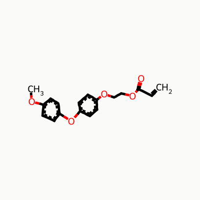 C=CC(=O)OCCOc1ccc(Oc2ccc(OC)cc2)cc1